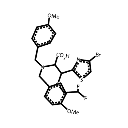 COc1ccc(CN(Cc2ccc(OC)cc2)C(C(=O)O)C(OCC(F)F)c2nc(Br)cs2)cc1